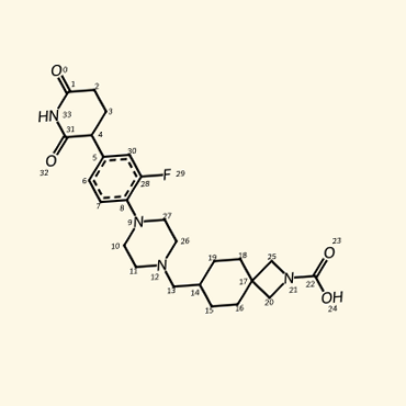 O=C1CCC(c2ccc(N3CCN(CC4CCC5(CC4)CN(C(=O)O)C5)CC3)c(F)c2)C(=O)N1